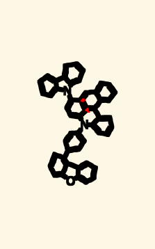 c1ccc(N(c2ccc(-c3cccc4oc5ccccc5c34)cc2)c2ccc(-n3c4ccccc4c4ccccc43)cc2)c(-c2cccc3ccccc23)c1